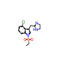 CCS(=O)(=O)n1cc(CC2=NCCN2)c2c(Cl)cccc21